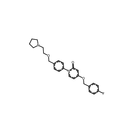 O=c1cc(OCc2ccc(F)cc2)ccn1-c1ccc(COCCN2CCCC2)cc1